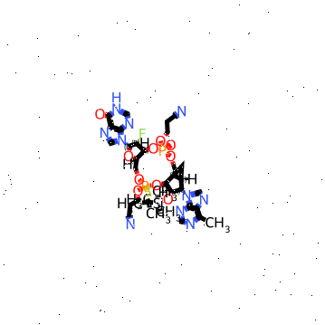 Cc1ncnc2c1ncn2[C@H]1C(O[Si](C)(C)C(C)(C)C)[C@@H]2OP(=S)(OCCC#N)OC[C@H]3O[C@@H](n4cnc5c(=O)[nH]cnc54)[C@H](F)[C@@H]3OP(=O)(OCCC#N)OC[C@]23C[C@H]13